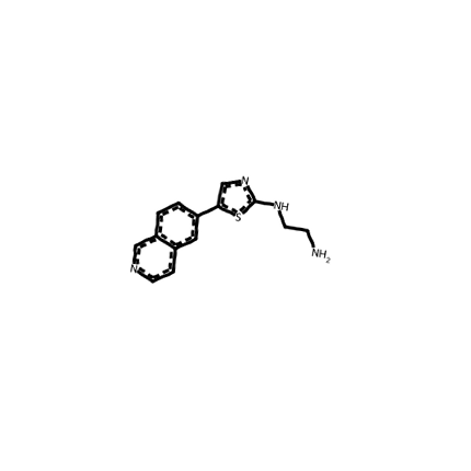 NCCNc1ncc(-c2ccc3cnccc3c2)s1